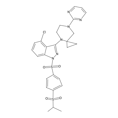 CC(C)S(=O)(=O)c1ccc(S(=O)(=O)n2nc(N3CCN(c4ncccn4)CC34CC4)c3c(Cl)cccc32)cc1